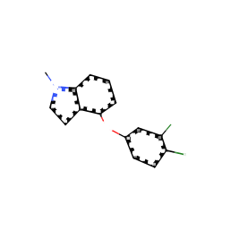 Cn1ccc2c(Oc3ccc(Cl)c(Cl)c3)cccc21